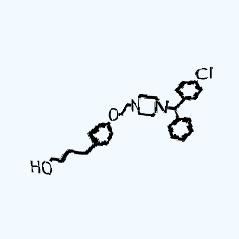 OCCCCc1ccc(OCCN2CCN([C@H](c3ccccc3)c3ccc(Cl)cc3)CC2)cc1